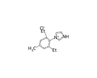 CCc1cc(C)cc(CC)c1-[n+]1cc[nH]c1.[Cl-]